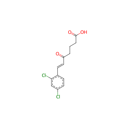 O=C(O)CCCC(=O)C=Cc1ccc(Cl)cc1Cl